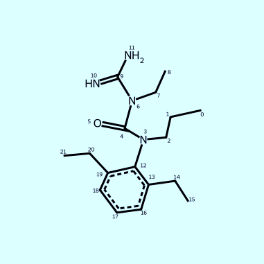 CCCN(C(=O)N(CC)C(=N)N)c1c(CC)cccc1CC